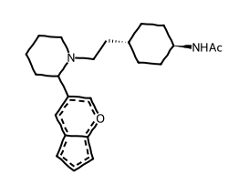 CC(=O)N[C@H]1CC[C@H](CCN2CCCCC2c2coc3cccc-3c2)CC1